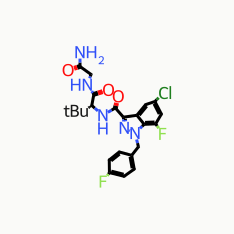 CC(C)(C)[C@H](NC(=O)c1nn(Cc2ccc(F)cc2)c2c(F)cc(Cl)cc12)C(=O)NCC(N)=O